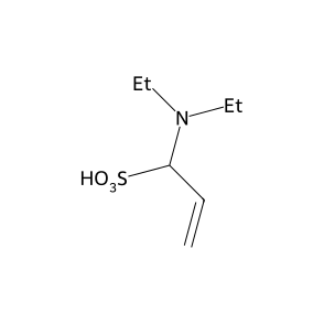 C=CC(N(CC)CC)S(=O)(=O)O